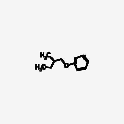 CCC(C)COc1c[c]ccc1